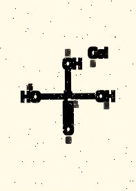 O=P(O)(O)O.[Ge]